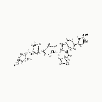 OC1C=C(c2ccc3nc(CN4CCC(c5cccc(OCc6ccc(Cl)cc6F)n5)CC4)n(C[C@@H]4CCO4)c3c2)ON1